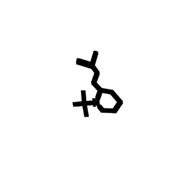 C=C(C)CCC1CCCCN1C(C)(C)C